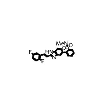 CNS(=O)(=O)c1ccccc1-c1ccc2[nH]c(C=Cc3cc(F)ccc3F)nc2c1